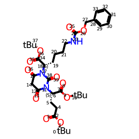 CC(C)(C)OC(=O)CC[C@@H](C(=O)OC(C)(C)C)N1C(=O)CC(=O)N([C@@H](CCCCNC(=O)OCc2ccccc2)C(=O)OC(C)(C)C)C1=O